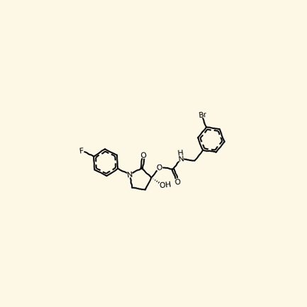 O=C(NCc1cccc(Br)c1)O[C@@]1(O)CCN(c2ccc(F)cc2)C1=O